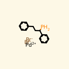 PC(CCc1ccccc1)c1ccccc1.[Br-].[Br-].[Pd+2]